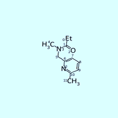 CCC(=O)N(C)Cc1cccc(C)n1